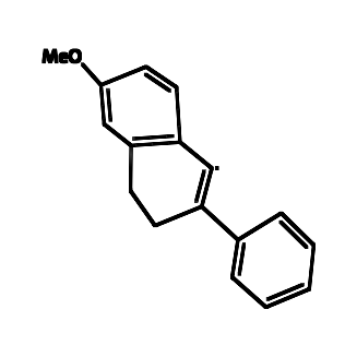 COc1ccc2c(c1)CCC(c1ccccc1)=[C]2